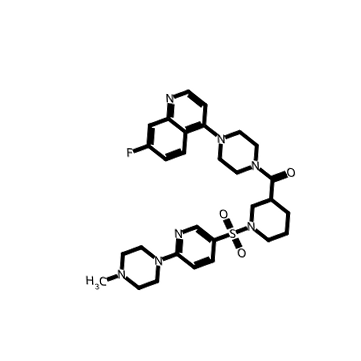 CN1CCN(c2ccc(S(=O)(=O)N3CCCC(C(=O)N4CCN(c5ccnc6cc(F)ccc56)CC4)C3)cn2)CC1